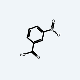 O=C(O)c1[c]ccc([N+](=O)[O-])c1